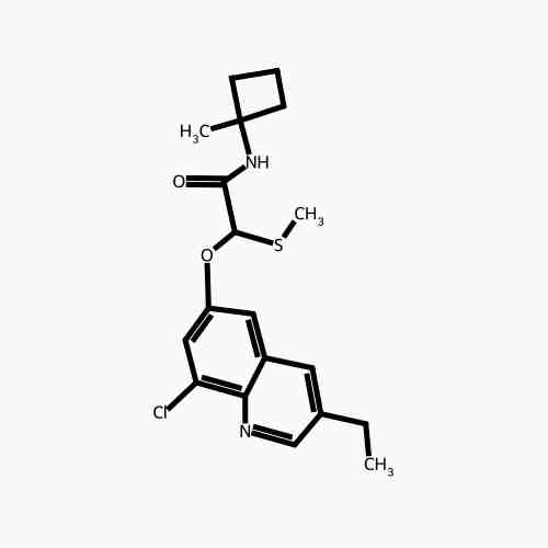 CCc1cnc2c(Cl)cc(OC(SC)C(=O)NC3(C)CCC3)cc2c1